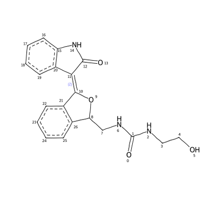 O=C(NCCO)NCC1O/C(=C2\C(=O)Nc3ccccc32)c2ccccc21